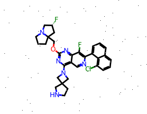 Fc1c(-c2cccc3cccc(Cl)c23)ncc2c(N3CC4(CCNC4)C3)nc(OCC34CCCN3C[C@H](F)C4)nc12